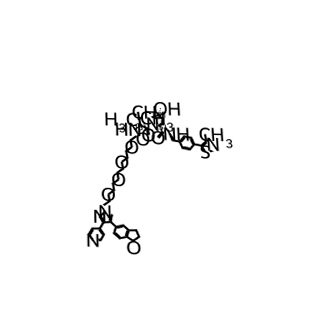 Cc1ncsc1-c1ccc(CNC(=O)[C@@H]2C[C@@H](O)CN2C(=O)[C@@H](NC(=O)COCCOCCOCCOCCn2cc(-c3ccc4c(c3)CCC4=O)c(-c3ccncc3)n2)C(C)(C)C)cc1